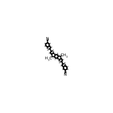 CC1c2cc3c(cc2-c2sc(-c4cc5cc(C#N)ccc5s4)cc21)C(C)c1cc(-c2cc4cc(C#N)ccc4s2)sc1-3